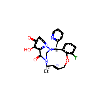 CC[C@H]1/C=C/COc2c(F)cccc2[C@H](c2ccccn2)N2CN1C(=O)c1c(O)c(=O)ccn12